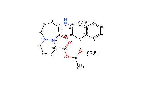 CCOC(=O)OC(C)OC(=O)[C@@H]1CCCN2CCC[C@H](N[C@@H](CCc3ccccc3)C(=O)OCC)C(=O)N12